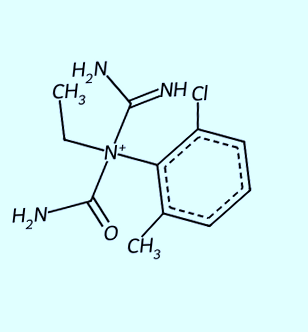 CC[N+](C(=N)N)(C(N)=O)c1c(C)cccc1Cl